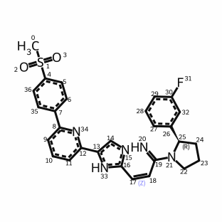 CS(=O)(=O)c1ccc(-c2cccc(-c3cnc(/C=C\C(=N)N4CCC[C@@H]4c4cccc(F)c4)[nH]3)n2)cc1